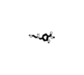 COCCNCc1ccc(C(=O)OC)c(OC)c1